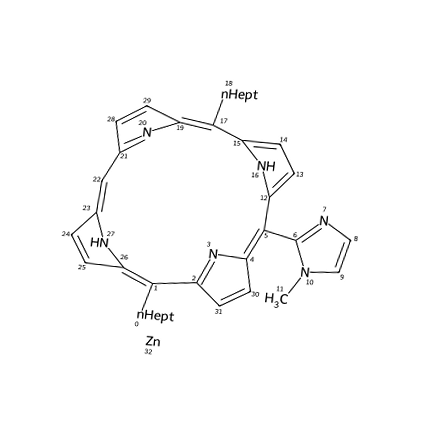 CCCCCCCc1c2nc(c(-c3nccn3C)c3ccc([nH]3)c(CCCCCCC)c3nc(cc4ccc1[nH]4)C=C3)C=C2.[Zn]